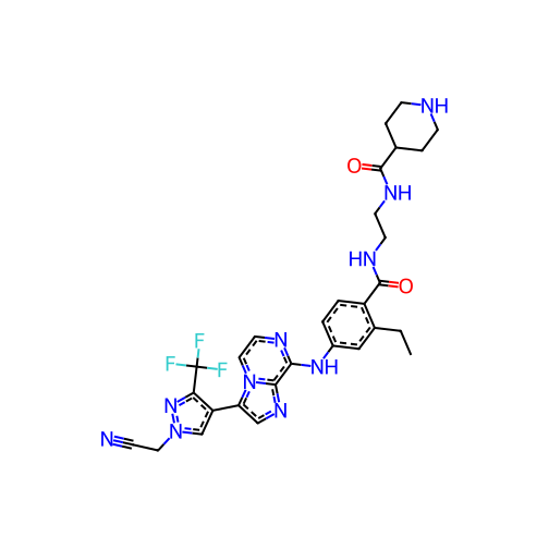 CCc1cc(Nc2nccn3c(-c4cn(CC#N)nc4C(F)(F)F)cnc23)ccc1C(=O)NCCNC(=O)C1CCNCC1